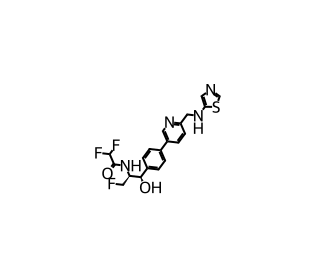 O=C(N[C@H](CF)[C@H](O)c1ccc(-c2ccc(CNc3cncs3)nc2)cc1)C(F)F